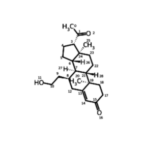 CC(=O)[C@H]1CC[C@H]2[C@@H]3[C@H](CCO)CC4=CC(=O)CC[C@]4(C)[C@H]3CC[C@]12C